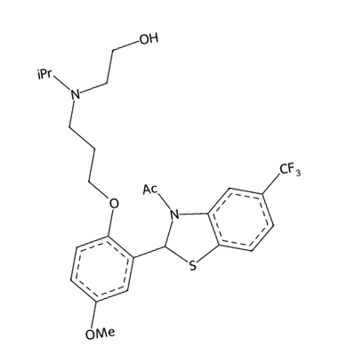 COc1ccc(OCCCN(CCO)C(C)C)c(C2Sc3ccc(C(F)(F)F)cc3N2C(C)=O)c1